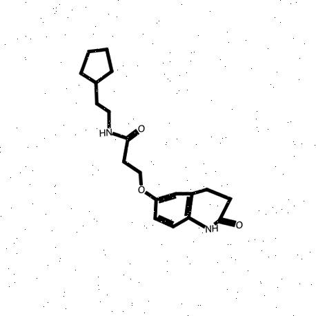 O=C(CCOc1ccc2c(c1)CCC(=O)N2)NCCC1CCCC1